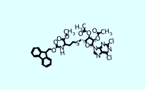 COC(=O)C(CCSC[C@H]1O[C@@H](n2cnc3c(Cl)nc(Cl)nc32)[C@H](OC(C)=O)[C@@H]1OC(C)=O)NC(=O)OCC1c2ccccc2-c2ccccc21